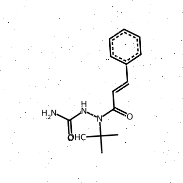 CC(C)([C]=O)N(NC(N)=O)C(=O)C=Cc1ccccc1